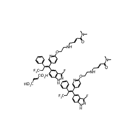 CN(C)C(=O)/C=C/CNCCOc1ccc(/C(=C(/CC(F)(F)F)c2ccccc2)c2ccc3[nH]nc(F)c3c2)cn1.CN(C)C(=O)/C=C/CNCCOc1ccc(/C(=C(/CC(F)(F)F)c2ccccc2)c2ccc3[nH]nc(F)c3c2)cn1.O=C(O)/C=C/C(=O)O